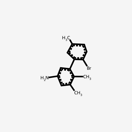 Cc1ccc(Br)c(-c2cc(N)cc(C)c2C)c1